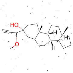 C#CC(OC)C1(O)CC[C@@]2(C)C(CC[C@@H]3[C@H]2CC[C@]2(C)CCC[C@@H]32)C1